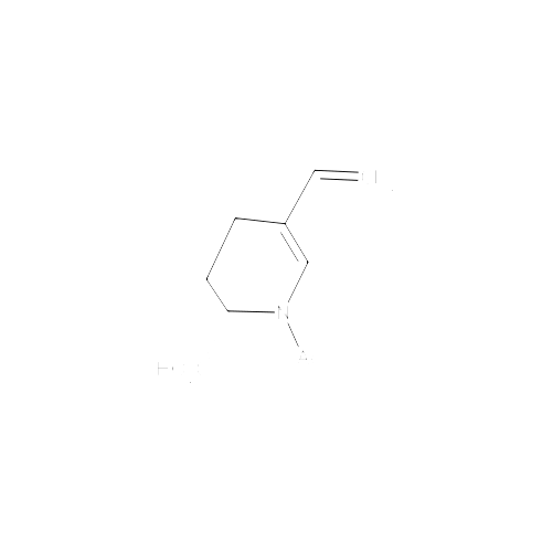 C=CC1=CN(C(C)=O)[C@H](C(=O)O)CC1